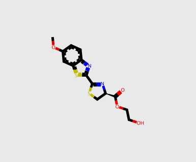 COc1ccc2nc(C3=N[C@@H](C(=O)OCCO)CS3)sc2c1